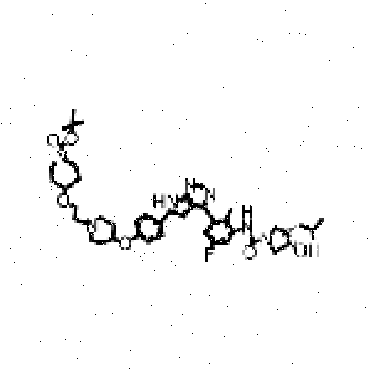 Cc1c(NC(=O)N2C[C@H](CC(C)C)[C@@H](O)C2)cc(F)cc1-c1ncnc2[nH]c(-c3ccc(OC4CCN(CCOC5CCN(C(=O)OC(C)(C)C)CC5)CC4)cc3)cc12